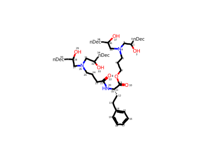 CCCCCCCCCCC(O)CN(CCCOC(=O)[C@H](CCc1ccccc1)NC(=O)CCCN(CC(O)CCCCCCCCCC)CC(O)CCCCCCCCCC)CC(O)CCCCCCCCCC